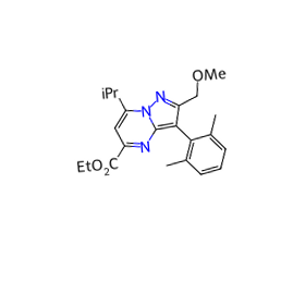 CCOC(=O)c1cc(C(C)C)n2nc(COC)c(-c3c(C)cccc3C)c2n1